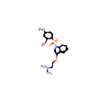 COc1ccc(S(=O)(=O)n2cc(OCCN(C)C)c3ccccc32)c(Br)c1